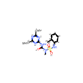 COc1nc(NC(=O)N(C)S(=O)(=O)Nc2ccccc2C)nc(OC)n1